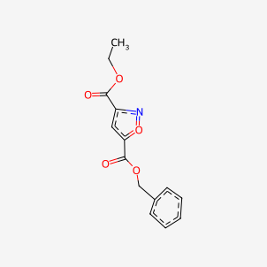 CCOC(=O)c1cc(C(=O)OCc2ccccc2)on1